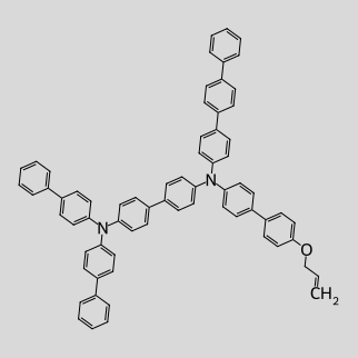 C=CCOc1ccc(-c2ccc(N(c3ccc(-c4ccc(-c5ccccc5)cc4)cc3)c3ccc(-c4ccc(N(c5ccc(-c6ccccc6)cc5)c5ccc(-c6ccccc6)cc5)cc4)cc3)cc2)cc1